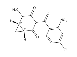 CC1C(=O)C(C(=O)c2ccc(Cl)cc2[N+](=O)[O-])C(=O)[C@@H]2C[C@H]12